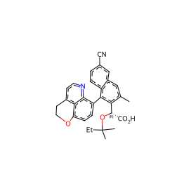 CCC(C)(C)O[C@@H](C(=O)O)c1c(C)cc2cc(C#N)ccc2c1-c1ccc2c3c(ccnc13)CCO2